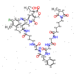 CC[C@@]1(O)C(=O)OCc2c1cc1n(c2=O)Cc2c-1nc1cc(F)c(C)c3c1c2[C@@H](NC(=O)CCCNC(=O)CNC(=O)[C@H](Cc1ccccc1)NC(=O)CNC(=O)CNC(=O)CCCCCN1C(=O)CC(C)C1=O)CC3